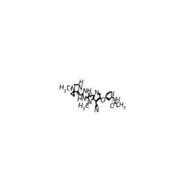 CC(=O)Nc1cc(Oc2cnc3nc(NC(=N)/C=C4\NCCN(C)C45CC5)n(C)c3c2C#N)ccn1